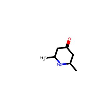 BC1CC(=O)CC(C)N1